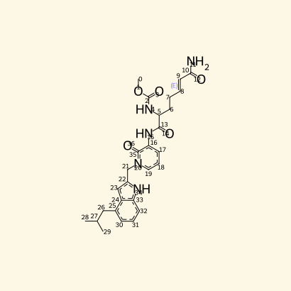 COC(=O)NC(CC/C=C/C(N)=O)C(=O)Nc1cccn(Cc2cc3c(CC(C)C)cccc3[nH]2)c1=O